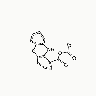 CCC(=O)OC(=O)c1cccc2c1Nc1ccccc1O2